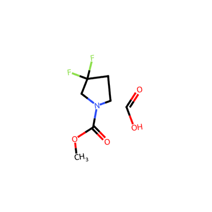 COC(=O)N1CCC(F)(F)C1.O=CO